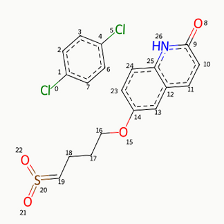 Clc1ccc(Cl)cc1.O=c1ccc2cc(OCCCC=S(=O)=O)ccc2[nH]1